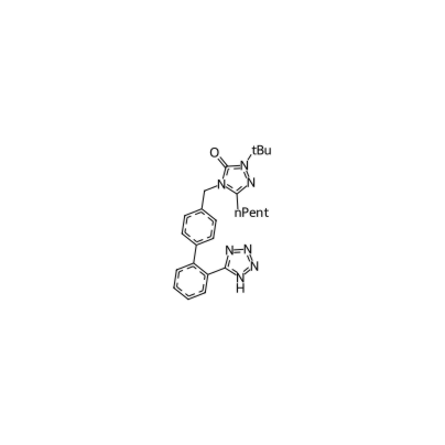 CCCCCc1nn(C(C)(C)C)c(=O)n1Cc1ccc(-c2ccccc2-c2nnn[nH]2)cc1